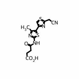 Cc1nc(NC(=O)CCC(=O)O)sc1-c1csc(CC#N)n1